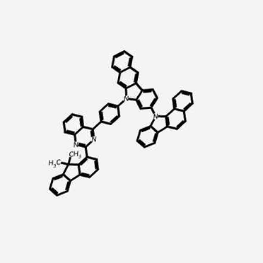 CC1(C)c2ccccc2-c2cccc(-c3nc(-c4ccc(-n5c6cc(-n7c8ccccc8c8ccc9ccccc9c87)ccc6c6cc7ccccc7cc65)cc4)c4ccccc4n3)c21